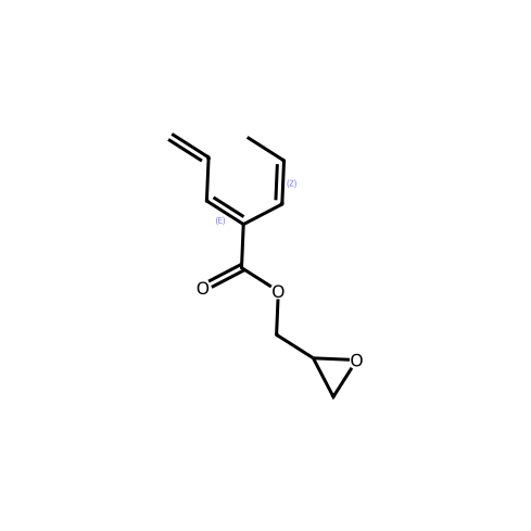 C=C/C=C(\C=C/C)C(=O)OCC1CO1